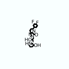 O=c1c2nc(-c3ccc(F)c(F)c3)ccc2ncn1CC(O)C[C@H]1NCCC[C@@H]1O